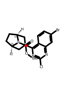 CC(C)(C)OC(=O)N1[C@@H]2CC[C@H]1CN(c1nc(Cl)nc3cc(Br)ccc13)C2